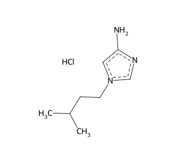 CC(C)CCn1cnc(N)c1.Cl